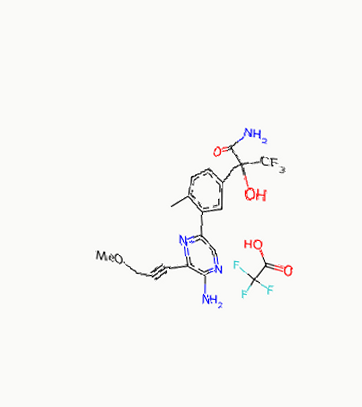 COCC#Cc1nc(-c2cc(C(O)(C(N)=O)C(F)(F)F)ccc2C)cnc1N.O=C(O)C(F)(F)F